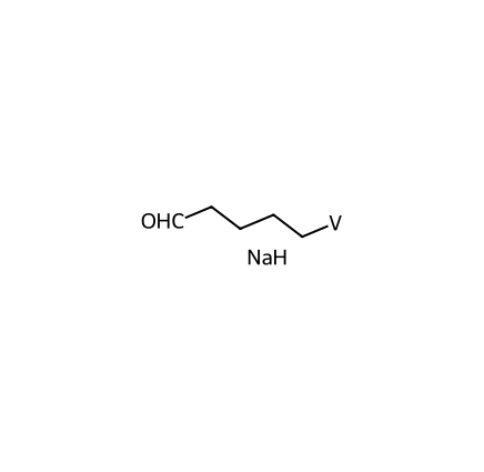 O=CCCC[CH2][V].[NaH]